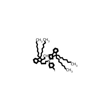 C=CC1=C(/C=C\CN(c2ccc(I)cc2)c2ccc3c(c2)C(CCCCCCCC)(CCCCCCCC)c2ccccc2-3)c2ccccc2C1(CCCCCCCC)CCCCCCCC